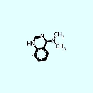 CN(C)C1N=CNc2[c]cccc21